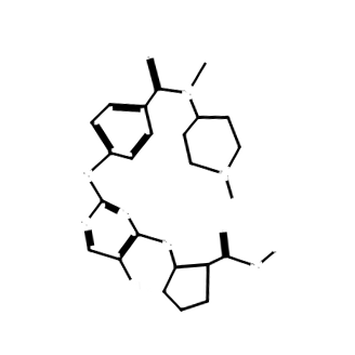 CCNC(=O)C1CCCC1Nc1nc(Nc2ccc(C(=O)N(C)C3CCN(C)CC3)cc2)ncc1C(F)(F)F